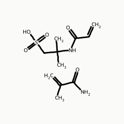 C=C(C)C(N)=O.C=CC(=O)NC(C)(C)CS(=O)(=O)O